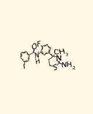 CC1(c2ccc(F)c(NC(=O)c3cccc(I)c3)c2)CCSC(N)=N1